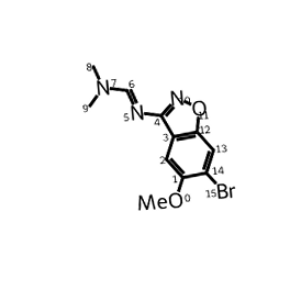 COc1cc2c(N=CN(C)C)noc2cc1Br